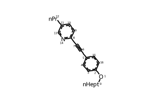 CCCCCCCOc1ccc(C#Cc2ccc(CCC)cn2)cc1